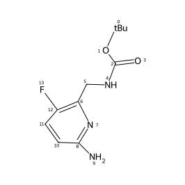 CC(C)(C)OC(=O)NCc1nc(N)ccc1F